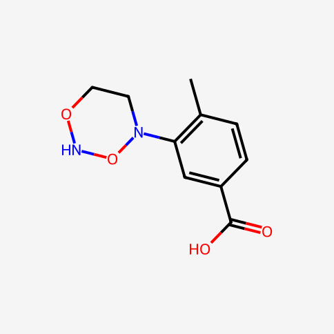 Cc1ccc(C(=O)O)cc1N1CCONO1